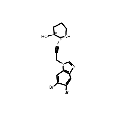 O[C@H]1CCCN[C@@H]1C#CCn1cnc2cc(Br)c(Br)cc21